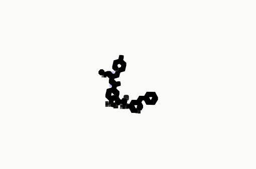 C=N/C=C(\C=C(/C)c1ccc2[nH]nc(C(=O)Nc3cncc(Cc4ccccc4)c3)c2c1)CN1CCC(C)CC1